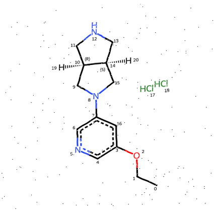 CCOc1cncc(N2C[C@H]3CNC[C@H]3C2)c1.Cl.Cl